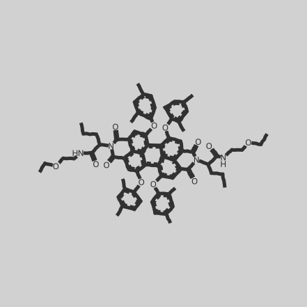 CCCC(C(=O)NCCOCC)N1C(=O)c2cc(Oc3ccc(C)cc3C)c3c4c(Oc5ccc(C)cc5C)cc5c6c(cc(Oc7ccc(C)cc7C)c(c7c(Oc8ccc(C)cc8C)cc(c2c37)C1=O)c64)C(=O)N(C(CCC)C(=O)NCCOCC)C5=O